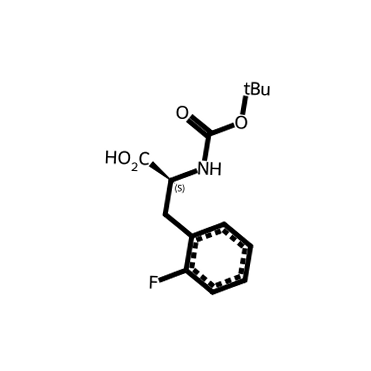 CC(C)(C)OC(=O)N[C@@H](Cc1ccccc1F)C(=O)O